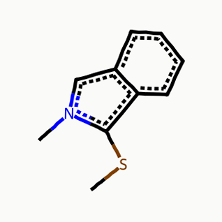 CSc1c2ccccc2cn1C